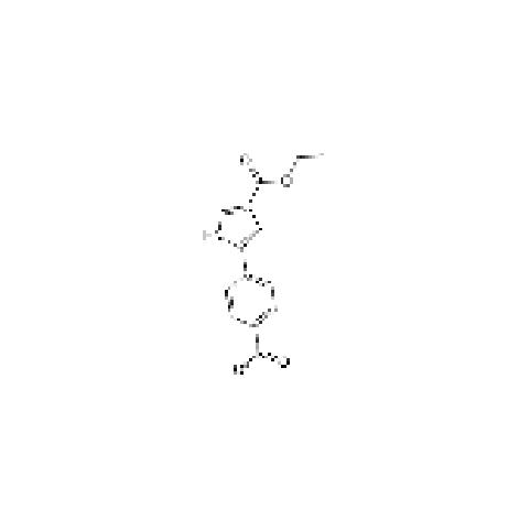 CCOC(=O)c1c[nH]c(-c2ccc([N+](=O)[O-])cc2)c1